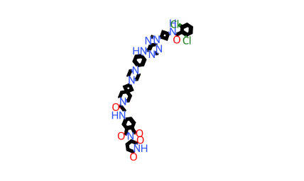 O=C1CC[C@H](N2C(=O)c3ccc(NCC(=O)N4CCC5(CC4)CC(N4CCN(c6ccc(Nc7ncnc8c7ncn8C7CC(NC(=O)c8c(Cl)cccc8Cl)C7)cc6)CC4)C5)cc3C2=O)C(=O)N1